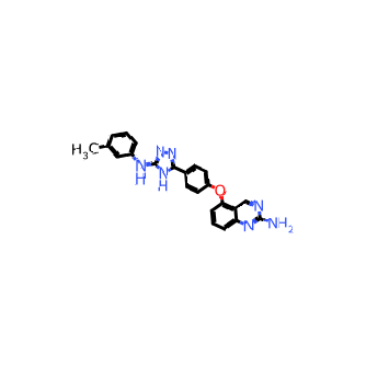 Cc1cccc(Nc2nnc(-c3ccc(Oc4cccc5nc(N)ncc45)cc3)[nH]2)c1